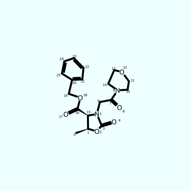 C[C@@H]1OC(=O)N(CC(=O)N2CCOCC2)[C@@H]1C(=O)OCc1ccccc1